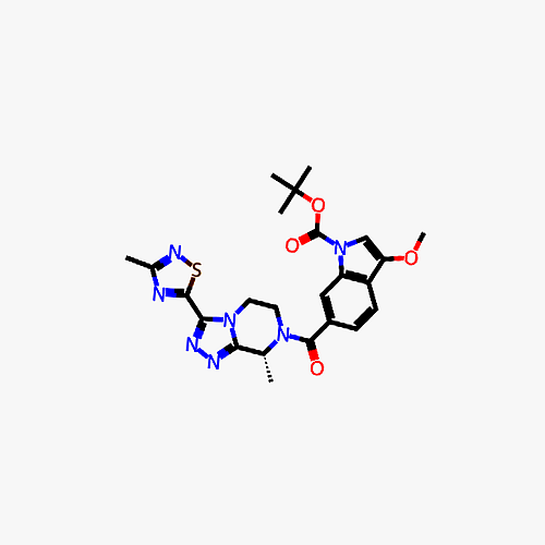 COc1cn(C(=O)OC(C)(C)C)c2cc(C(=O)N3CCn4c(-c5nc(C)ns5)nnc4[C@H]3C)ccc12